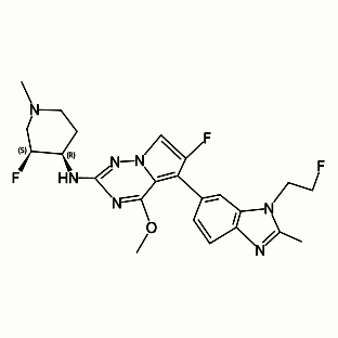 COc1nc(N[C@@H]2CCN(C)C[C@@H]2F)nn2cc(F)c(-c3ccc4nc(C)n(CCF)c4c3)c12